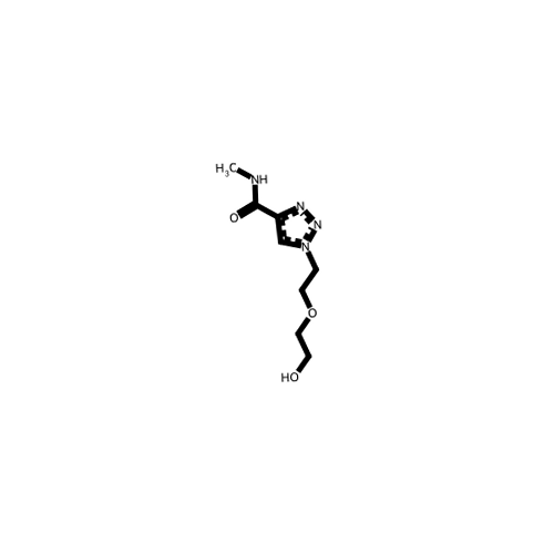 CNC(=O)c1cn(CCOCCO)nn1